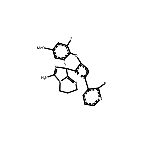 COc1cc(F)c2c(c1)[C@]1(N=C(N)N3CCCN=C31)c1cc(-c3cccnc3F)ccc1O2